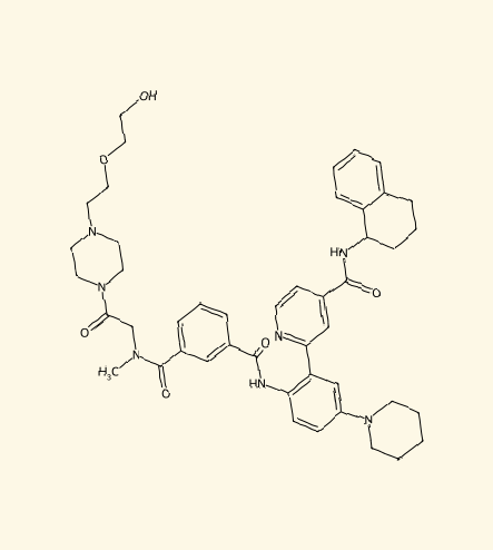 CN(CC(=O)N1CCN(CCOCCO)CC1)C(=O)c1cccc(C(=O)Nc2ccc(N3CCCCC3)cc2-c2cc(C(=O)NC3CCCc4ccccc43)ccn2)c1